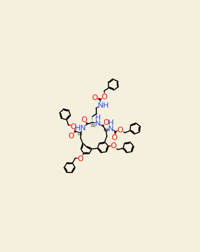 O=C(NCCC[C@@H]1NC(=O)[C@@H](NC(=O)OCc2ccccc2)Cc2cc(ccc2OCc2ccccc2)-c2cc(cc(OCc3ccccc3)c2)C[C@@H](C(=O)OCc2ccccc2)NC1=O)OCc1ccccc1